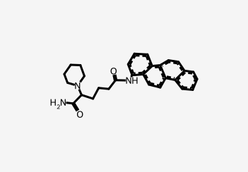 NC(=O)C(CCCC(=O)Nc1cccc2c1ccc1c3ccccc3ccc21)N1CCCCC1